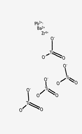 [Ba+2].[O]=[Ti]([O-])[O-].[O]=[Ti]([O-])[O-].[O]=[Ti]([O-])[O-].[O]=[Ti]([O-])[O-].[Pb+2].[Zr+4]